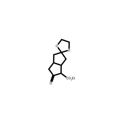 CCOC(=O)C1C(=O)CC2CC3(CC21)OCCO3